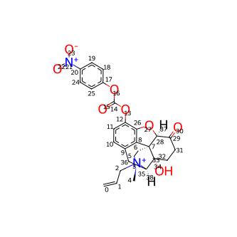 C=CC[N@+]1(C)CC[C@]23c4c5ccc(OC(=O)Oc6ccc([N+](=O)[O-])cc6)c4O[C@H]2C(=O)CC[C@@]3(O)[C@H]1C5